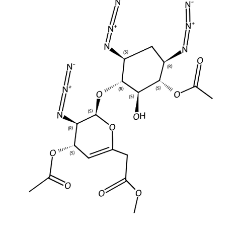 COC(=O)CC1=C[C@H](OC(C)=O)[C@@H](N=[N+]=[N-])[C@@H](O[C@H]2[C@H](O)[C@@H](OC(C)=O)[C@H](N=[N+]=[N-])C[C@@H]2N=[N+]=[N-])O1